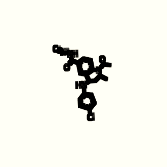 [C-]#[N+]NC(=O)c1ccc2c(c1)C(Nc1ccc(Cl)cc1)CC(C)N2C(C)=O